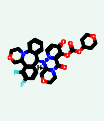 O=C(Oc1c2n(ccc1=O)N([C@@H]1c3ccccc3N3CCOCC3c3c1ccc(F)c3F)[C@@H]1COCCN1C2=O)OC1CCOCC1